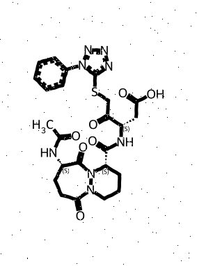 CC(=O)N[C@H]1CCC(=O)N2CCC[C@@H](C(=O)N[C@@H](CC(=O)O)C(=O)CSc3nnnn3-c3ccccc3)N2C1=O